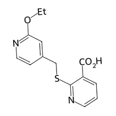 CCOc1cc(CSc2ncccc2C(=O)O)ccn1